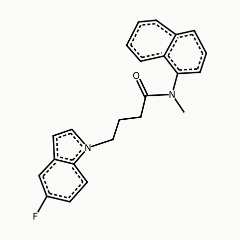 CN(C(=O)CCCn1ccc2cc(F)ccc21)c1cccc2ccccc12